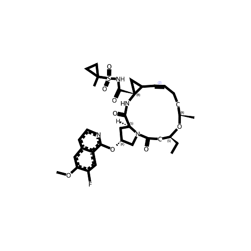 CC[C@H]1CC(=O)N2C[C@H](Oc3nccc4cc(OC)c(F)cc34)C[C@H]2C(=O)N[C@]2(C(=O)NS(=O)(=O)C3(C)CC3)CC2/C=C\CC[C@@H](C)O1